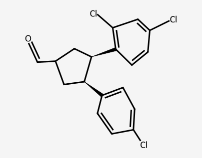 O=CC1C[C@H](c2ccc(Cl)cc2)[C@H](c2ccc(Cl)cc2Cl)C1